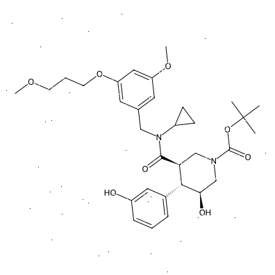 COCCCOc1cc(CN(C(=O)[C@H]2CN(C(=O)OC(C)(C)C)C[C@@H](O)[C@@H]2c2cccc(O)c2)C2CC2)cc(OC)c1